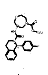 CC(C)(C)OC(=O)N1CCOC[C@@H](NC(=O)N2CCc3ccccc3[C@@H]2c2ccc(F)cc2)C1